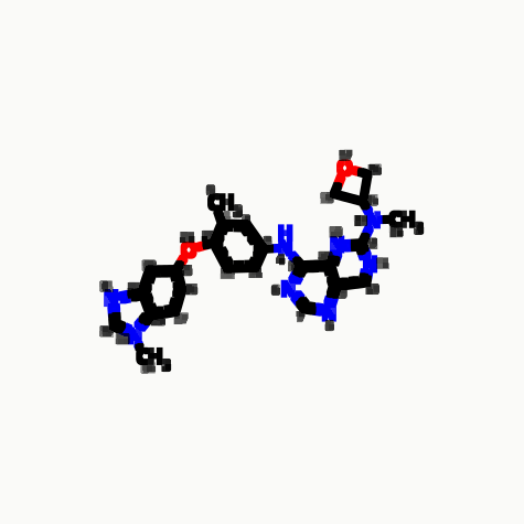 Cc1cc(Nc2ncnc3cnc(N(C)C4COC4)nc23)ccc1Oc1ccc2c(c1)ncn2C